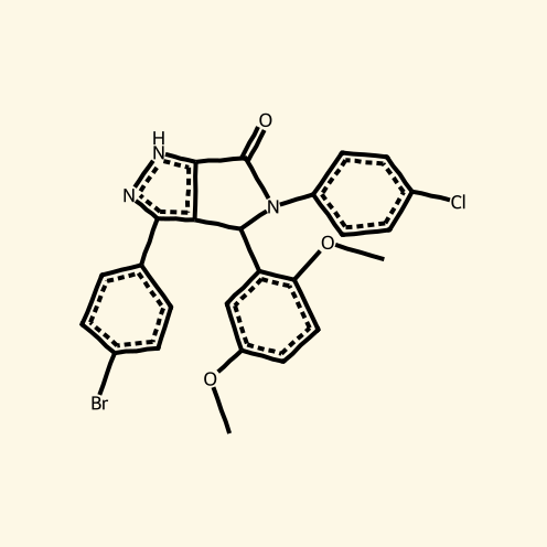 COc1ccc(OC)c(C2c3c(-c4ccc(Br)cc4)n[nH]c3C(=O)N2c2ccc(Cl)cc2)c1